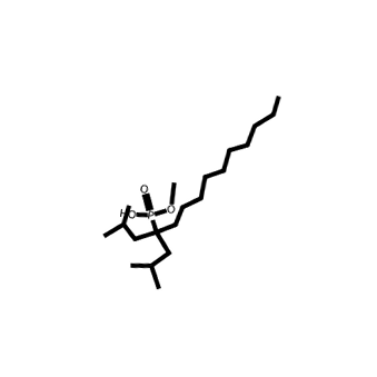 CCCCCCCCCCC(CC(C)C)(CC(C)C)P(=O)(O)OC